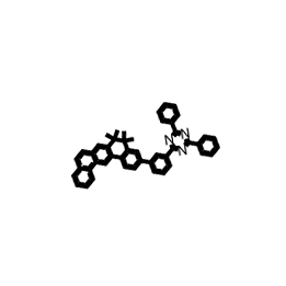 CC1(C)c2cc(-c3cccc(-c4nc(-c5ccccc5)nc(-c5ccccc5)n4)c3)ccc2-c2cc3c(ccc4ccccc43)cc2C1(C)C